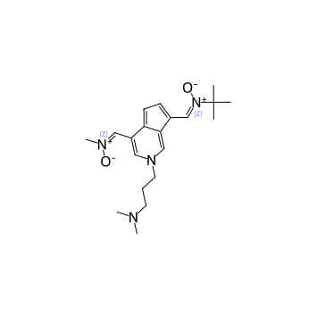 CN(C)CCCn1cc(/C=[N+](/C)[O-])c2ccc(/C=[N+](\[O-])C(C)(C)C)c-2c1